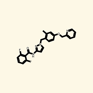 Cc1cc(OCc2ccccn2)ccc1Cn1ccc(NC(=O)c2c(F)cccc2F)n1